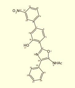 CC(=O)Nc1oc(-c2ccc(-c3cccc([N+](=O)[O-])c3)cc2O)nc1-c1ccccc1